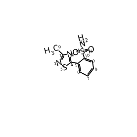 Cc1nsc(-c2ccccc2S(N)(=O)=O)n1